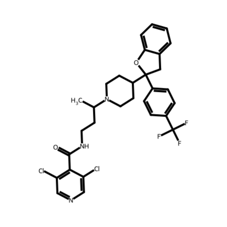 CC(CCNC(=O)c1c(Cl)cncc1Cl)N1CCC(C2(c3ccc(C(F)(F)F)cc3)Cc3ccccc3O2)CC1